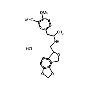 COc1ccc(CC(C)NCC2OCc3c2ccc2c3OCO2)cc1OC.Cl